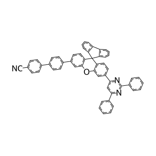 N#Cc1ccc(-c2ccc(-c3ccc4c(c3)Oc3cc(-c5cc(-c6ccccc6)nc(-c6ccccc6)n5)ccc3C43c4ccccc4-c4ccccc43)cc2)cc1